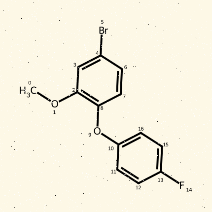 COc1cc(Br)ccc1Oc1ccc(F)cc1